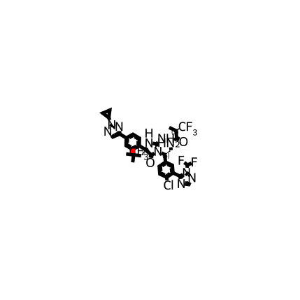 C[C@@H](C(=O)NC[C@H](c1ccc(Cl)c(-c2ncnn2C(F)F)c1)N1C(=O)[C@@](CC(C)(C)C(F)(F)F)(c2ccc(-c3cnn(C4CC4)n3)cc2)NC1N)C(F)(F)F